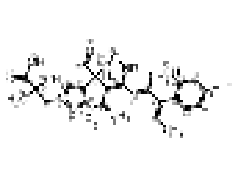 C=C(C)\C(=C(/N=C(C)/C(=C/C)c1ccc(F)cc1C)NC)C(C)(C=O)c1cnn(CC(C)(C)C(=O)O)c1